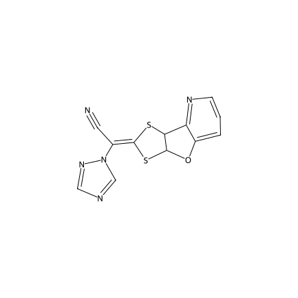 N#C/C(=C1/SC2Oc3cccnc3C2S1)n1cncn1